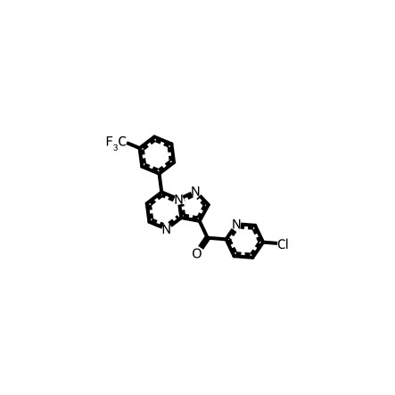 O=C(c1ccc(Cl)cn1)c1cnn2c(-c3cccc(C(F)(F)F)c3)ccnc12